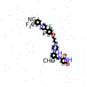 N#Cc1ccc(N2CCC(c3c(F)cc(OCCCCN4CCN(c5ccc(C=O)c(CNC6CCC(=O)NC6=O)c5)CC4)cc3F)CC2)cc1C(F)(F)F